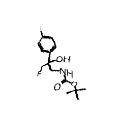 CC(C)(C)OC(=O)NCC(O)(CF)c1ccc(I)cc1